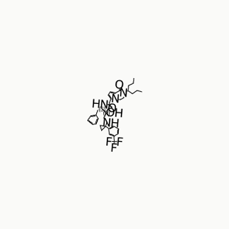 CCCC(CCC)N1CCn2c(C(=O)N[C@@H](Cc3ccccc3)[C@H](O)CNC3(c4cccc(C(F)(F)F)c4)CC3)ccc2C1=O